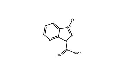 CNC(=N)n1n[n+]([O-])c2cccnc21